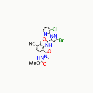 COC(=O)NN(C)C(=O)c1ccc(C#N)c(C)c1NC(=O)c1cc(Br)nn1-c1ncccc1Cl